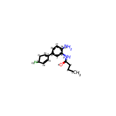 CCCC(=O)Nc1cc(C2=CCC(F)C=C2)ccc1N